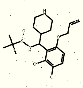 C=CCOc1ccc(Cl)c(Cl)c1C(N[S@@+]([O-])C(C)(C)C)C1CCNCC1